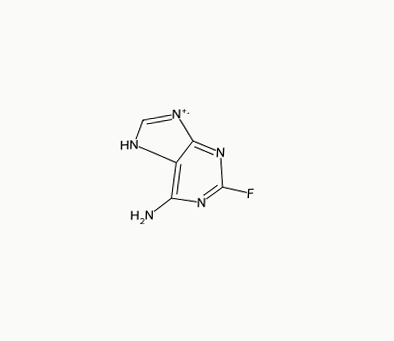 Nc1nc(F)nc2c1NC=[N+]2